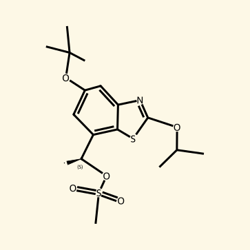 [CH2][C@H](OS(C)(=O)=O)c1cc(OC(C)(C)C)cc2nc(OC(C)C)sc12